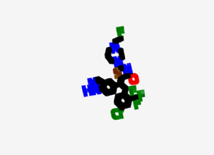 O=C1N=C(N2CCCN(CCF)CC2)SC1=C(Cc1ccc(Cl)cc1C(F)(F)F)c1ccc2[nH]ncc2c1